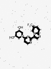 O[C@@H]1C[C@H](O)CN(c2ccnc(-c3cnc4ccc(C(F)(F)F)cn34)n2)C1